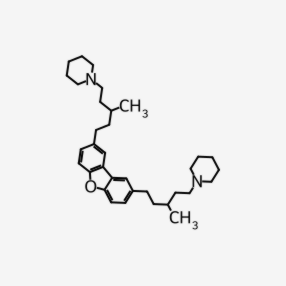 CC(CCc1ccc2oc3ccc(CCC(C)CCN4CCCCC4)cc3c2c1)CCN1CCCCC1